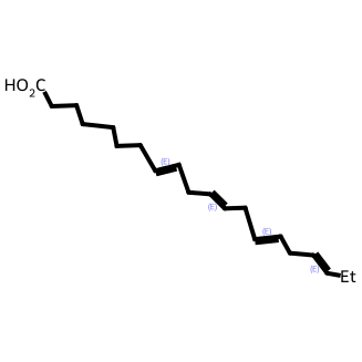 CC/C=C/C/C=C/C/C=C/C/C=C/CCCCCCC(=O)O